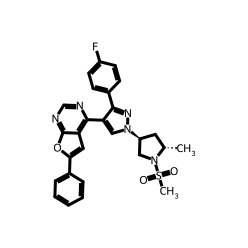 C[C@H]1C[C@H](n2cc(-c3ncnc4oc(-c5ccccc5)cc34)c(-c3ccc(F)cc3)n2)CN1S(C)(=O)=O